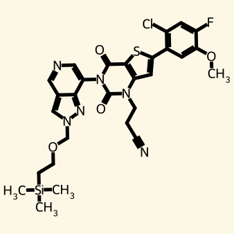 COc1cc(-c2cc3c(s2)c(=O)n(-c2cncc4cn(COCC[Si](C)(C)C)nc24)c(=O)n3CCC#N)c(Cl)cc1F